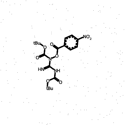 CC(C)(C)OC(=O)NC(=N)N(OC(=O)c1ccc([N+](=O)[O-])cc1)C(=O)OC(C)(C)C